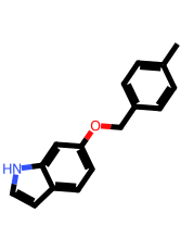 Cc1ccc(COc2ccc3cc[nH]c3c2)cc1